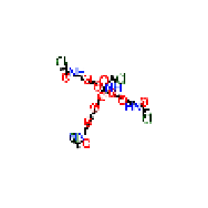 CC(CCl)C(=O)NCCCOCCCOCCOCC(COCCOCCCNC(=O)C(C)CCl)(COCCOCCCNC(=O)C(C)CCl)NC(=O)C(C)CCl